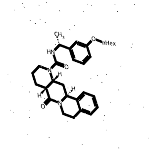 CCCCCCOc1cccc([C@@H](C)NC(=O)N2CCC[C@H]3C(=O)N4CCc5ccccc5[C@@H]4C[C@H]32)c1